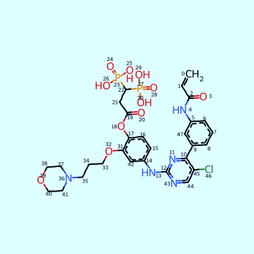 C=CC(=O)Nc1cccc(-c2nc(Nc3ccc(OC(=O)CC(P(=O)(O)O)P(=O)(O)O)c(OCCCN4CCOCC4)c3)ncc2Cl)c1